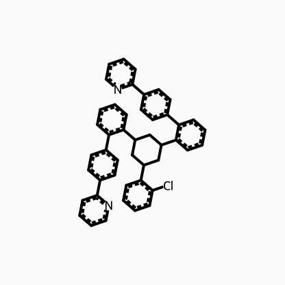 Clc1ccccc1C1CC(c2ccccc2-c2ccc(-c3ccccn3)cc2)CC(c2ccccc2-c2ccc(-c3ccccn3)cc2)C1